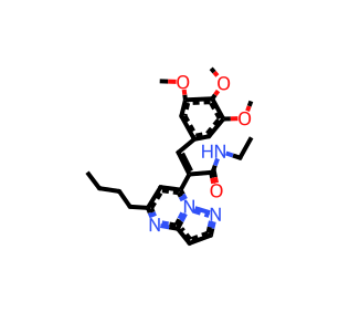 CCCCc1cc(C(=Cc2cc(OC)c(OC)c(OC)c2)C(=O)NCC)n2nccc2n1